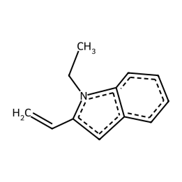 C=Cc1cc2ccccc2n1CC